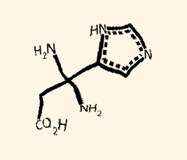 NC(N)(CC(=O)O)c1cnc[nH]1